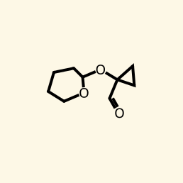 O=CC1(OC2CCCCO2)CC1